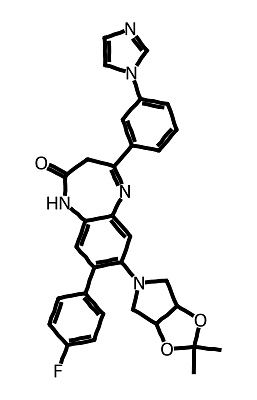 CC1(C)OC2CN(c3cc4c(cc3-c3ccc(F)cc3)NC(=O)CC(c3cccc(-n5ccnc5)c3)=N4)CC2O1